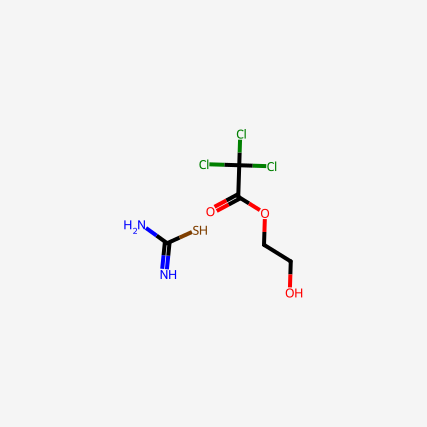 N=C(N)S.O=C(OCCO)C(Cl)(Cl)Cl